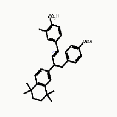 COc1ccc(CC(/C=C/c2ccc(C(=O)O)c(C)c2)c2ccc3c(c2)C(C)(C)CCC3(C)C)cc1